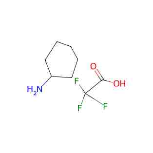 NC1CCCCC1.O=C(O)C(F)(F)F